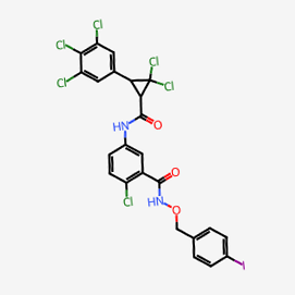 O=C(NOCc1ccc(I)cc1)c1cc(NC(=O)C2C(c3cc(Cl)c(Cl)c(Cl)c3)C2(Cl)Cl)ccc1Cl